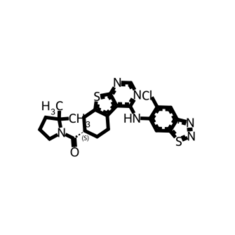 CC1(C)CCCN1C(=O)[C@H]1CCc2c(sc3ncnc(Nc4cc5snnc5cc4Cl)c23)C1